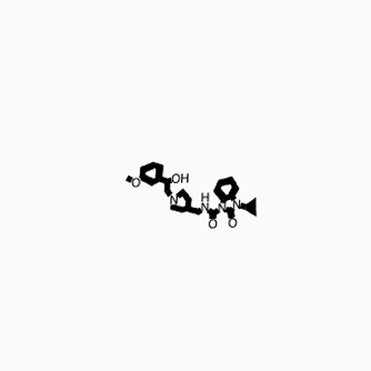 COc1cccc(C(O)CN2CCC(CNC(=O)n3c(=O)n(C4CC4)c4ccccc43)CC2)c1